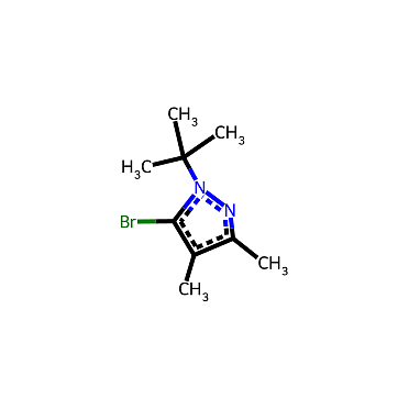 Cc1nn(C(C)(C)C)c(Br)c1C